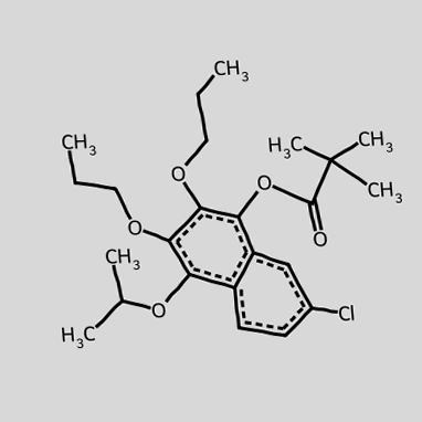 CCCOc1c(OCCC)c(OC(C)C)c2ccc(Cl)cc2c1OC(=O)C(C)(C)C